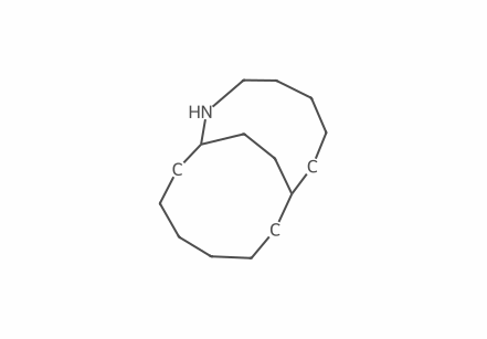 C1CCCC2CCC(CC1)CCCCCN2